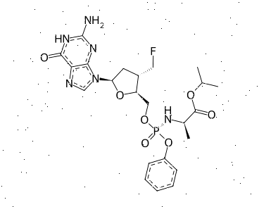 CC(C)OC(=O)[C@@H](C)N[P@](=O)(OC[C@H]1O[C@@H](n2cnc3c(=O)[nH]c(N)nc32)C[C@@H]1CF)Oc1ccccc1